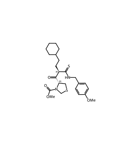 COC(=O)N1CSC[C@H]1C(=O)[C@@H](CCC1CCCCC1)C(=S)NCc1ccc(OC)cc1